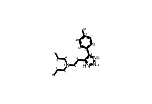 CCCN(CCC)CCc1[nH]nnc1-c1ccc(C)cc1